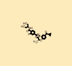 C[C@@H](Oc1ccc(C(=O)C2CC2)cc1)c1nc(-c2ccc(C(=O)NC(CO)CO)c(F)c2)no1